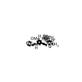 COc1cc(C#CCn2c(=O)n(C)c(=O)c3c2nc(S(C)(=O)=O)n3C)cc(NCCN2CCOCC2)c1